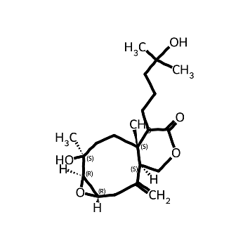 C=C1C[C@H]2O[C@H]2[C@@](C)(O)CC[C@]2(C)C(CCCC(C)(C)O)C(=O)OC[C@@H]12